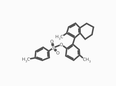 Cc1ccc(S(=O)(=O)Oc2ccc(C)cc2-c2c(C)ccc3c2CCCC3)cc1